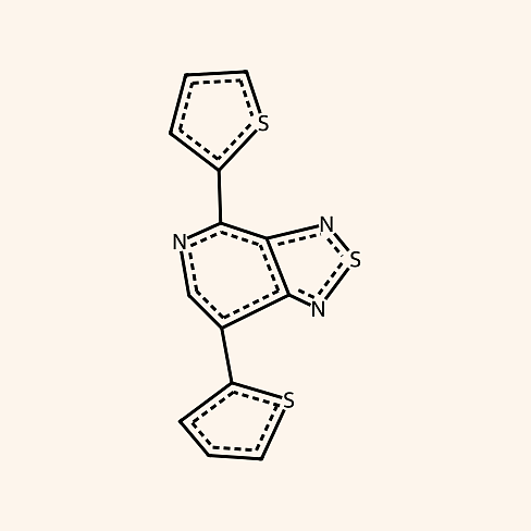 c1csc(-c2cnc(-c3cccs3)c3nsnc23)c1